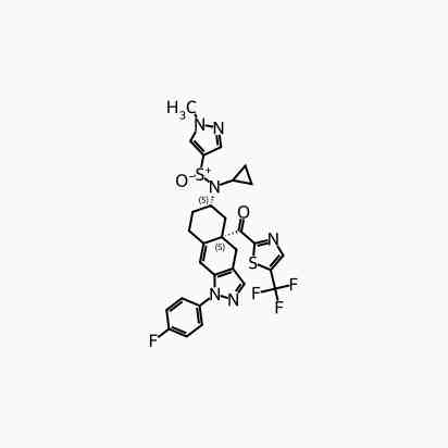 Cn1cc([S+]([O-])N(C2CC2)[C@H]2CCC3=Cc4c(cnn4-c4ccc(F)cc4)C[C@]3(C(=O)c3ncc(C(F)(F)F)s3)C2)cn1